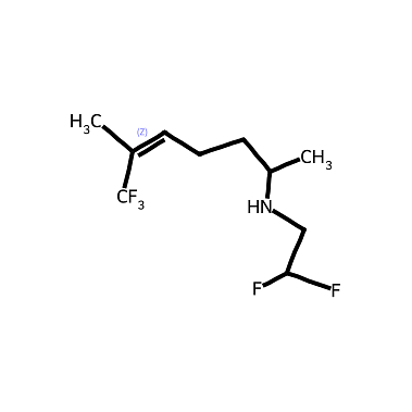 C/C(=C/CCC(C)NCC(F)F)C(F)(F)F